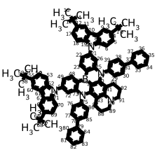 CC(C)(C)c1ccc2c(c1)c1cc(C(C)(C)C)ccc1n2-c1ccc2c(c1)N(c1ccc(-c3ccccc3)cc1)c1c3c4c(c5c1B2c1ccc(-n2c6ccc(C(C)(C)C)cc6c6cc(C(C)(C)C)ccc62)cc1N5c1ccc(-c2ccccc2)cc1)CCCN4CCC3